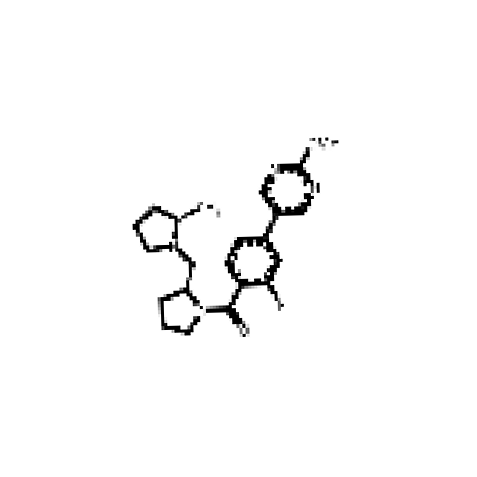 COc1ncc(-c2ccc(C(=O)N3CCC[C@H]3CN3CCC[C@H]3C)c(F)c2)cn1